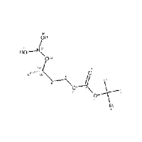 CCC(C)(C)OC(=O)OCC[C@H](C)ON(O)O